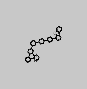 c1cc(-c2ccc(-c3ccc(-c4cccc5c4oc4ccccc45)cc3)cc2)cc(-c2ccc3c4ccccc4c4nccnc4c3c2)c1